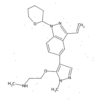 C=Cc1nn(C2CCCCO2)c2ccc(-c3cnn(C)c3OCCNC)cc12